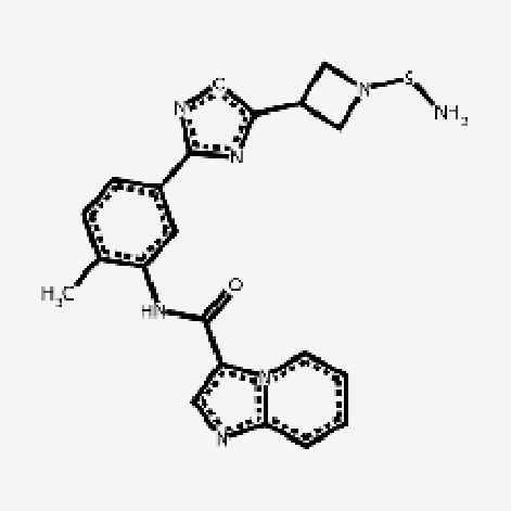 Cc1ccc(-c2noc(C3CN(SN)C3)n2)cc1NC(=O)c1cnc2ccccn12